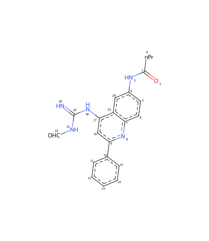 CCCC(=O)Nc1ccc2nc(-c3ccccc3)cc(NC(=N)NC=O)c2c1